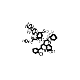 CCCCCCCC(CC(c1ccccc1)C(C(=O)O)c1nc2ccccc2s1)c1ccccc1Cl.CCCCCCCCCCCCc1ccc(S(=O)(=O)O)cc1.c1nn[nH]n1.c1nn[nH]n1